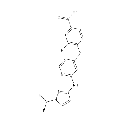 O=[N+]([O-])c1ccc(Oc2ccnc(Nc3ccn(C(F)F)n3)c2)c(F)c1